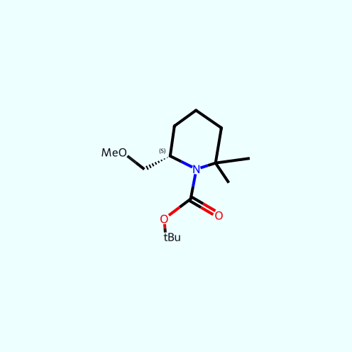 COC[C@@H]1CCCC(C)(C)N1C(=O)OC(C)(C)C